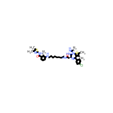 Cc1nc(NC(=O)c2cccc(NCCCCCCCCNC(=O)C[C@@H]3N=C(c4ccc(Cl)cc4)c4c(sc(C)c4C)N(C(C)N)C3=N)c2C)sc1C